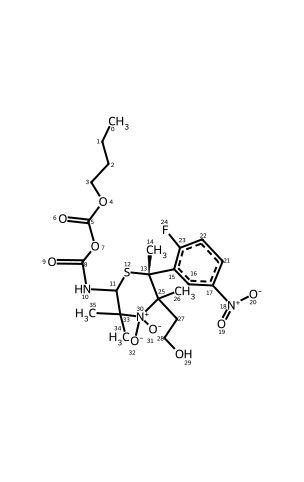 CCCCOC(=O)OC(=O)NC1S[C@](C)(c2cc([N+](=O)[O-])ccc2F)C(C)(CCO)[N+]([O-])([O-])C1(C)C